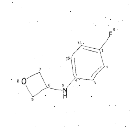 Fc1ccc(NC2COC2)cc1